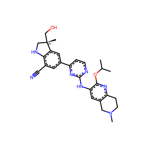 CC(C)Oc1nc2c(cc1Nc1nccc(-c3cc(C#N)c4c(c3)[C@@](C)(CO)CN4)n1)CN(C)CC2